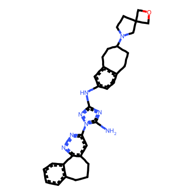 Nc1nc(Nc2ccc3c(c2)CCC(N2CCC4(COC4)C2)CC3)nn1-c1cc2c(nn1)-c1ccccc1CCC2